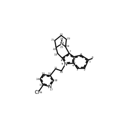 Cc1ccc2c(c1)c1c(n2CCc2ccc(Cl)nc2)CC2CCCC1N2C